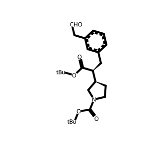 CC(C)(C)OC(=O)[C@@H](Cc1cccc(CC=O)c1)[C@H]1CCN(C(=O)OC(C)(C)C)C1